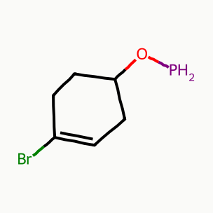 POC1CC=C(Br)CC1